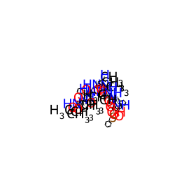 CC(C)C[C@H](NC(=O)CNC(=O)[C@H](Cc1ccccc1)N(C)C(=O)[C@H](C)NC(=O)[C@H](C)NC(=O)OC(C)(C)C)C(=O)N[C@@H](C)C(=O)N[C@H](C(=O)N[C@@H](Cc1ccccc1)C(=O)N[C@@H](CC(=O)OSCc1ccccc1)C(=O)O)C(C)C